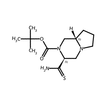 CC(C)(C)OC(=O)N1C[C@@H]2CCCN2C[C@H]1C(N)=S